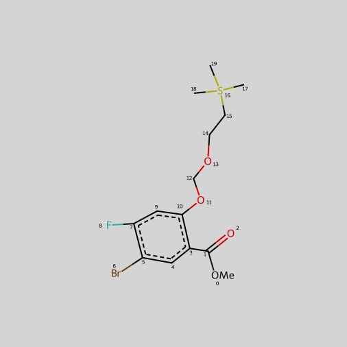 COC(=O)c1cc(Br)c(F)cc1OCOCCS(C)(C)C